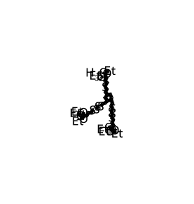 CCO[Si](C)(CCCSCCC1CCC(CCSSSSCCC[Si](OCC)(OCC)OCC)C(CCSSSSCCC[Si](OCC)(OCC)OCC)C1)OCC